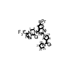 CCCc1cc2c(N3CCn4c(nnc4C(F)(F)F)C3=O)nc(N3CCC(C(=O)N4CCCC4)C3)nc2s1